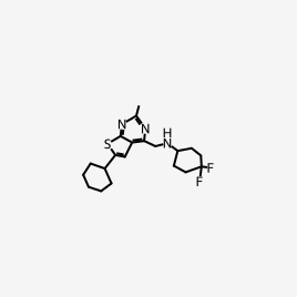 Cc1nc(CNC2CCC(F)(F)CC2)c2cc(C3CCCCC3)sc2n1